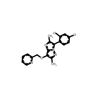 Cc1nn2c(-c3ccc(Cl)cc3Cl)c(C)oc2c1OCc1ccccn1